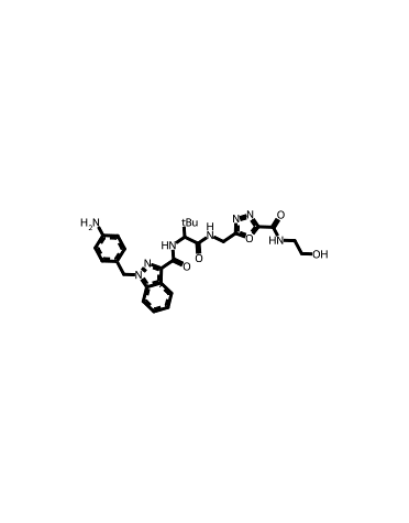 CC(C)(C)C(NC(=O)c1nn(Cc2ccc(N)cc2)c2ccccc12)C(=O)NCc1nnc(C(=O)NCCO)o1